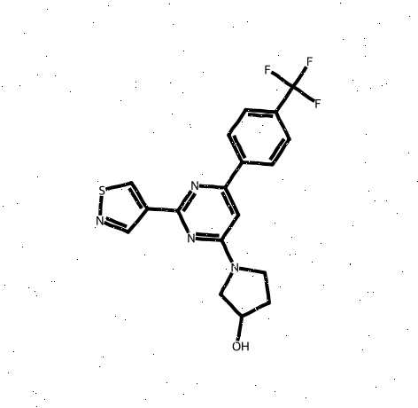 OC1CCN(c2cc(-c3ccc(C(F)(F)F)cc3)nc(-c3cnsc3)n2)C1